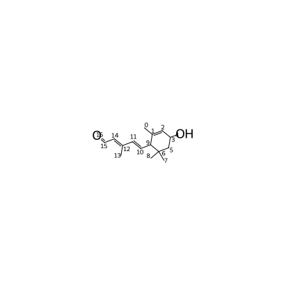 CC1=CC(O)CC(C)(C)C1C=C/C(C)=C/C=O